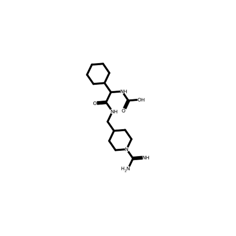 N=C(N)N1CCC(CNC(=O)C(NC(=O)O)C2CCCCC2)CC1